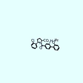 CC(C)Oc1ccccc1-c1ccc(C(=O)N2[C@@H](c3ccccc3Cl)CC[C@H]2C(=O)O)cc1